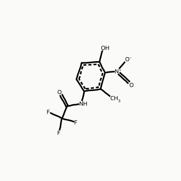 Cc1c(NC(=O)C(F)(F)F)ccc(O)c1[N+](=O)[O-]